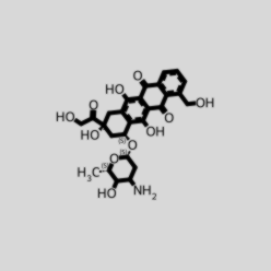 C[C@@H]1O[C@H](O[C@H]2C[C@](O)(C(=O)CO)Cc3c(O)c4c(c(O)c32)C(=O)c2c(CO)cccc2C4=O)CC(N)C1O